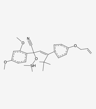 C=CCOc1ccc(C(=CC(C#N)(O[SiH](C)C)c2ccc(OC)cc2OC)C(C)(C)C)cc1